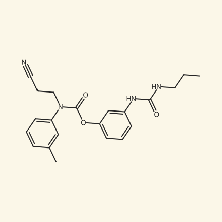 CCCNC(=O)Nc1cccc(OC(=O)N(CCC#N)c2cccc(C)c2)c1